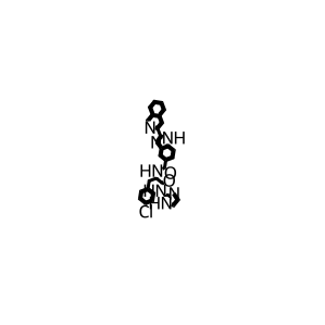 O=C(NC(Cc1ccc(Cl)cc1)C(=O)Nc1ncc[nH]1)c1ccc2[nH]c(-c3cc4ccccc4cn3)nc2c1